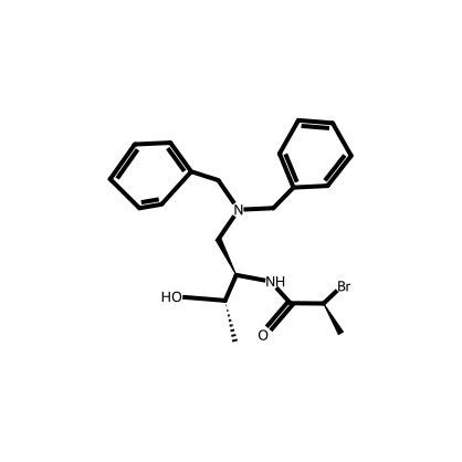 C[C@H](Br)C(=O)N[C@H](CN(Cc1ccccc1)Cc1ccccc1)[C@H](C)O